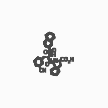 N#Cc1cccc(C[C@H](NS(=O)(=O)c2ccc3ccccc3c2)C(=O)C2NC(C(=O)O)Cc3ccccc32)c1